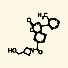 Cc1ccccc1-c1cc(=O)oc2cc(C(=O)N3CC(CO)C3)ccc12